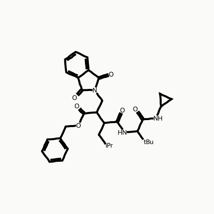 CC(C)CC(C(=O)NC(C(=O)NC1CC1)C(C)(C)C)C(CN1C(=O)c2ccccc2C1=O)C(=O)OCc1ccccc1